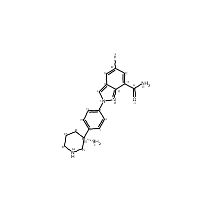 B[C@@]1(c2ccc(-n3cc4cc(F)cc(C(N)=O)c4n3)cc2)CCCNC1